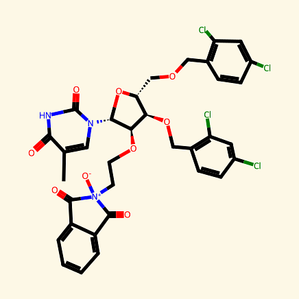 Cc1cn([C@@H]2O[C@H](COCc3ccc(Cl)cc3Cl)[C@@H](OCc3ccc(Cl)cc3Cl)[C@H]2OCC[N+]2([O-])C(=O)c3ccccc3C2=O)c(=O)[nH]c1=O